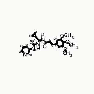 COc1cc(/C=C/C(=O)NC(NC(=S)N=C2C=CC=NC2)C2CC2)cc(OC)c1OC